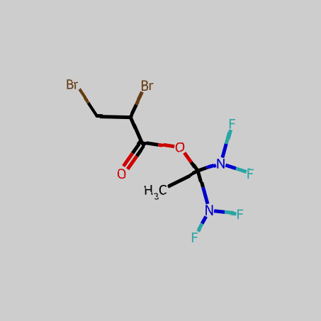 CC(OC(=O)C(Br)CBr)(N(F)F)N(F)F